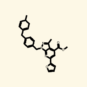 COC(=O)c1cc(-c2ccco2)nc2c1c(C)nn2Cc1ccc(CC2=CCC(C)C=C2)cc1